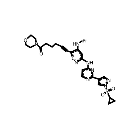 CC(C)Nc1cc(Nc2ccnc(-c3cnn(S(=O)(=O)C4CC4)c3)n2)ncc1C#CCCCC(=O)N1CCOCC1